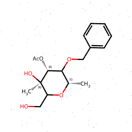 CC(=O)O[C@@H]1C(OCc2ccccc2)[C@H](C)OC(CO)[C@@]1(C)O